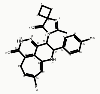 CC1=NC2(CCC2)C(=O)N1C1c2n[nH]c(=O)c3c2C(=CC(F)=CC3)NC1c1ccc(F)cc1